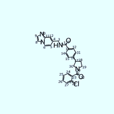 O=C(NCc1ccn2ccnc2c1)c1ccc(C2CCN(C(=O)c3ccccc3Cl)C2)cc1